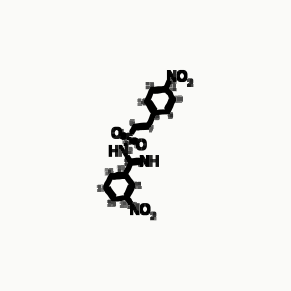 N=C(NS(=O)(=O)/C=C/c1ccc([N+](=O)[O-])cc1)c1cccc([N+](=O)[O-])c1